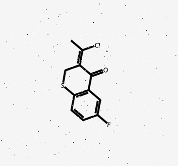 C/C(Cl)=C1\CSc2ccc(F)cc2C1=O